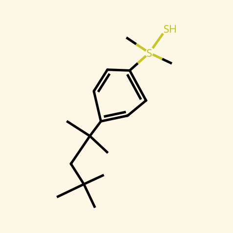 CC(C)(C)CC(C)(C)c1ccc(S(C)(C)S)cc1